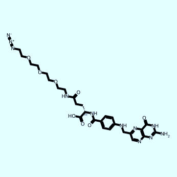 [N-]=[N+]=NCCOCCOCCOCCNC(=O)CC[C@H](NC(=O)c1ccc(NCc2cnc3nc(N)[nH]c(=O)c3n2)cc1)C(=O)O